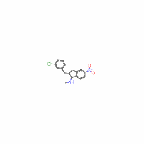 CNC1c2ccc([N+](=O)[O-])cc2CC1Cc1cccc(Cl)c1